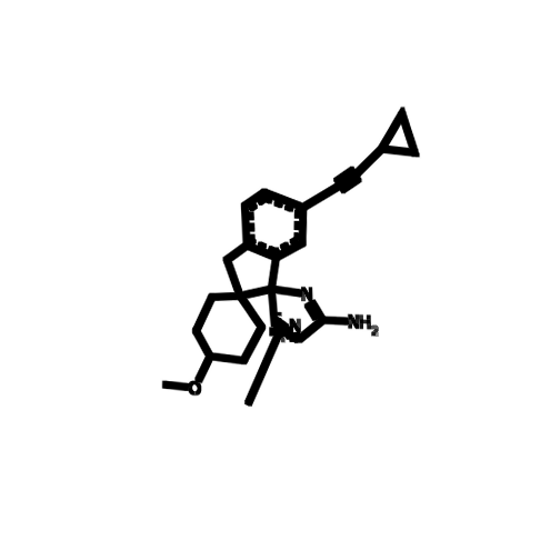 COC1CCC2(CC1)Cc1ccc(C#CC3CC3)cc1C21N=C(N)c2nc(C)sc21